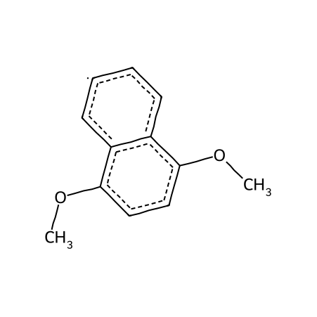 COc1ccc(OC)c2cc[c]cc12